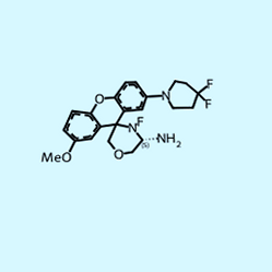 COc1ccc2c(c1)C1(COC[C@@H](N)N1F)c1cc(N3CCC(F)(F)CC3)ccc1O2